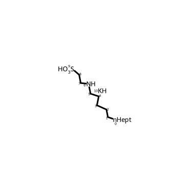 CCCCCCCCCCCCNCCS(=O)(=O)O.[KH]